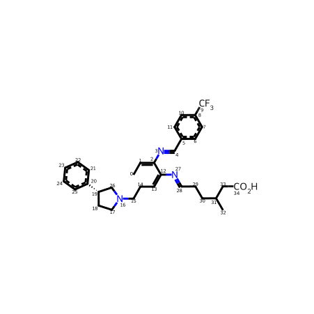 C/C=C(/N=C/c1ccc(C(F)(F)F)cc1)C(=C/CCN1CC[C@H](c2ccccc2)C1)\N=C\CCC(C)CC(=O)O